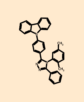 Cc1ccc(C)c(-n2c(-c3ccccc3)nnc2-c2ccc(-n3c4ccccc4c4ccccc43)cc2)c1